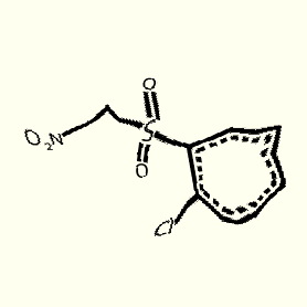 O=[N+]([O-])CS(=O)(=O)c1ccccc1Cl